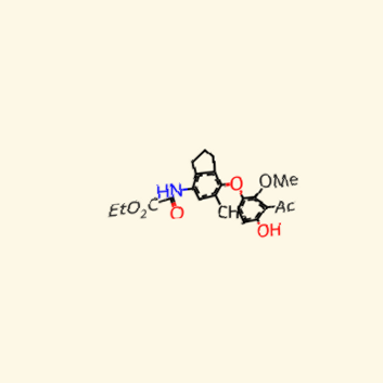 CCOC(=O)C(=O)Nc1cc(C)c(Oc2ccc(O)c(C(C)=O)c2OC)c2c1CCC2